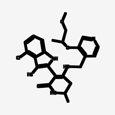 COCC(C)Oc1cnccc1CNC1=C(c2[nH]c3cccc(Cl)c3c2S)C(=O)NC(C)C1